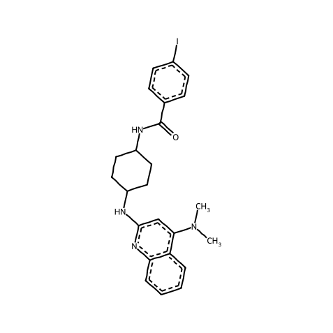 CN(C)c1cc(NC2CCC(NC(=O)c3ccc(I)cc3)CC2)nc2ccccc12